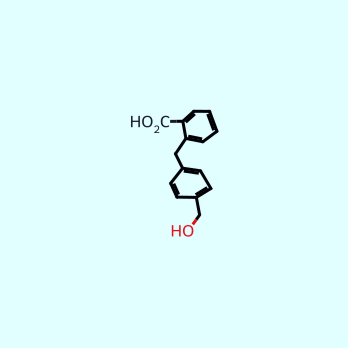 O=C(O)c1ccccc1Cc1ccc(CO)cc1